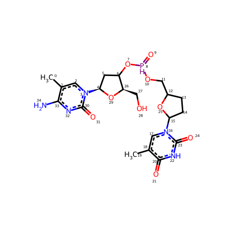 Cc1cn([C@H]2CC(O[PH](=O)OCC3CCC(n4cc(C)c(=O)[nH]c4=O)O3)[C@@H](CO)O2)c(=O)nc1N